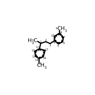 C[C](CCc1cccc(C)c1)c1ccc(C)cc1